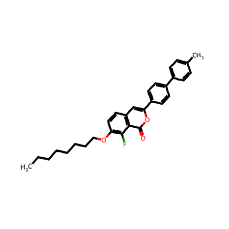 CCCCCCCCOc1ccc2cc(-c3ccc(-c4ccc(C)cc4)cc3)oc(=O)c2c1F